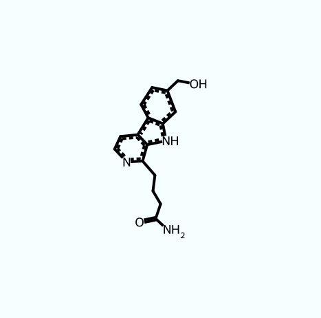 NC(=O)CCCc1nccc2c1[nH]c1cc(CO)ccc12